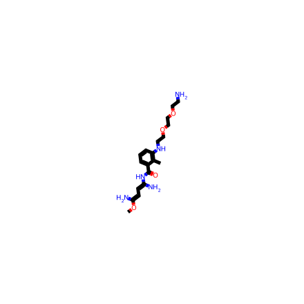 CO/C(N)=C/C=C(\N)NC(=O)c1cccc(NCCOCCOCCN)c1C